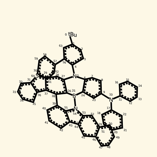 CC(C)(C)c1ccc(N2c3ccc(N(c4ccccc4)c4ccccc4)cc3B3c4c2cc2sc5ccccc5c2c4-c2cccc4c5cc6ccccc6cc5n3c24)c(-c2ccccc2)c1